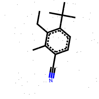 CCc1c(C(C)(C)C)ccc(C#N)c1C